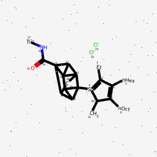 CCCCCCCCC1=C(CCCCCC)C(CC)=[Si](C23C4C5CC26C2C5(C(=O)[NH][Ti+2])C26C43)C1C.[Cl-].[Cl-]